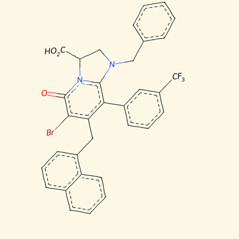 O=C(O)C1CN(Cc2ccccc2)c2c(-c3cccc(C(F)(F)F)c3)c(Cc3cccc4ccccc34)c(Br)c(=O)n21